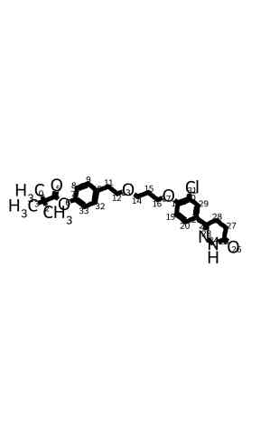 CC(C)(C)C(=O)Oc1ccc(CCOCCCOc2ccc(C3=NNC(=O)CC3)cc2Cl)cc1